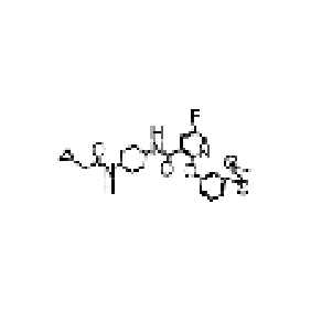 CS(=O)(=O)c1cccc(Oc2ncc(F)cc2C(=O)NC2CCC(NC(=O)CC3CC3)CC2)c1